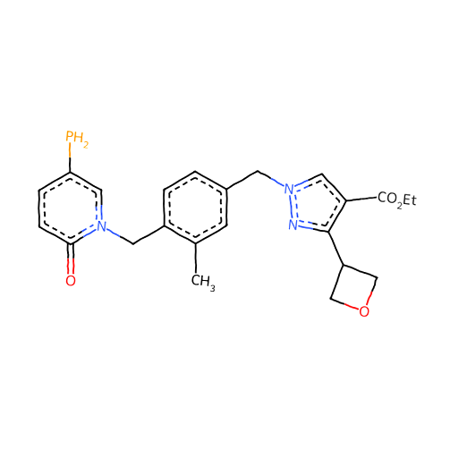 CCOC(=O)c1cn(Cc2ccc(Cn3cc(P)ccc3=O)c(C)c2)nc1C1COC1